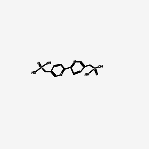 O=P(O)(O)Cc1ccc(-c2ccc(CP(=O)(O)O)cn2)nc1